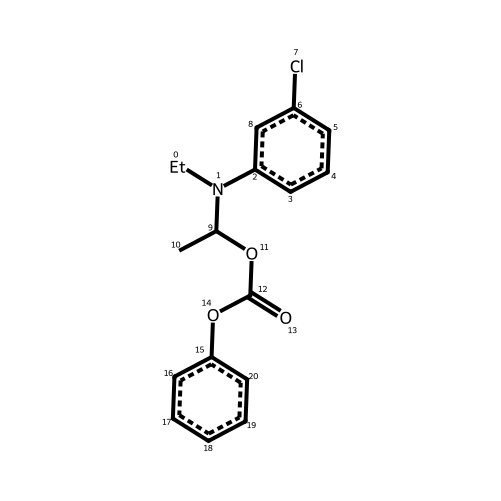 CCN(c1cccc(Cl)c1)C(C)OC(=O)Oc1ccccc1